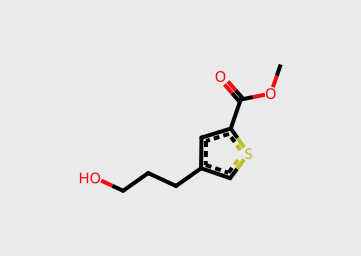 COC(=O)c1cc(CCCO)cs1